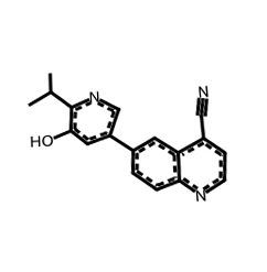 CC(C)c1ncc(-c2ccc3nccc(C#N)c3c2)cc1O